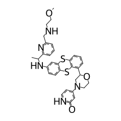 COCCNCc1cccc(C(C)Nc2ccc3c(c2)Sc2cccc(C4CN(c5cc[nH]c(=O)c5)CCO4)c2S3)n1